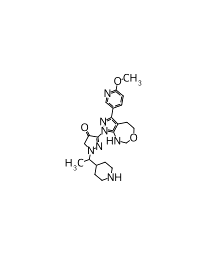 COc1ccc(-c2nn(C3=NN(C(C)C4CCNCC4)CC3=O)c3c2CCOCN3)cn1